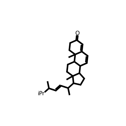 CC(C)C(C)/C=C/C(C)C1CCC2C3C=CC4=CC(=O)CCC4(C)C3CCC12C